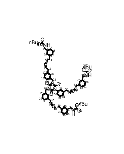 CCCCOC(=O)NCc1cccc(CN=C=NCc2cccc(Cn3c(=O)n(Cc4cccc(CN=C=NCc5cccc(CNC(=O)OCCCC)c5)c4)c(=O)n(-c4cccc(CN=C=NCc5cccc(CNC(=O)OCCCC)c5)c4)c3=O)c2)c1